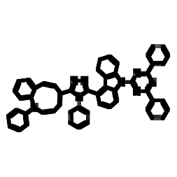 C1=Cc2c(c3c(-c4nnc(-c5cccn(-c6ccccc6)c6ccccc6cc5)n4-c4ccccc4)cccc3n2-c2nc(-c3ccccc3)nc(-c3ccccc3)n2)CC1